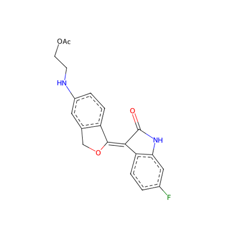 CC(=O)OCCNc1ccc2c(c1)COC2=C1C(=O)Nc2cc(F)ccc21